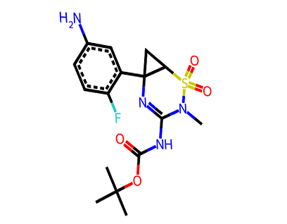 CN1C(NC(=O)OC(C)(C)C)=NC2(c3cc(N)ccc3F)CC2S1(=O)=O